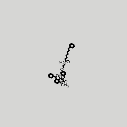 COC(=O)[C@H](Cc1ccc(OCCCNC(=O)CCCCCCCc2ccccc2)cc1)Nc1ccccc1C(=O)c1ccccc1